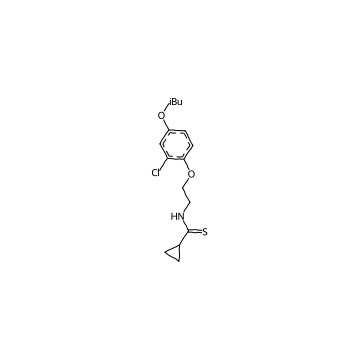 CCC(C)Oc1ccc(OCCNC(=S)C2CC2)c(Cl)c1